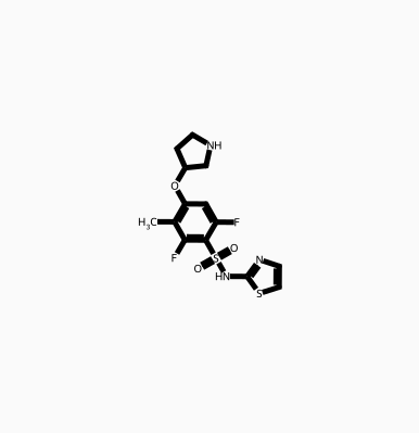 Cc1c(OC2CCNC2)cc(F)c(S(=O)(=O)Nc2nccs2)c1F